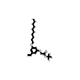 C=Cc1cc(OCCCCCCCCCC)cc(OCC(=O)OC(C)(C)C)c1